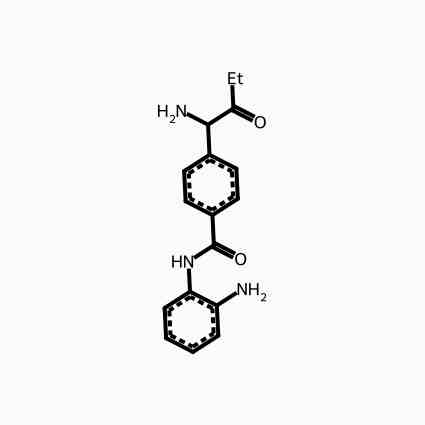 CCC(=O)C(N)c1ccc(C(=O)Nc2ccccc2N)cc1